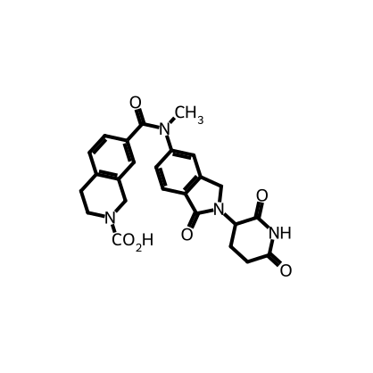 CN(C(=O)c1ccc2c(c1)CN(C(=O)O)CC2)c1ccc2c(c1)CN(C1CCC(=O)NC1=O)C2=O